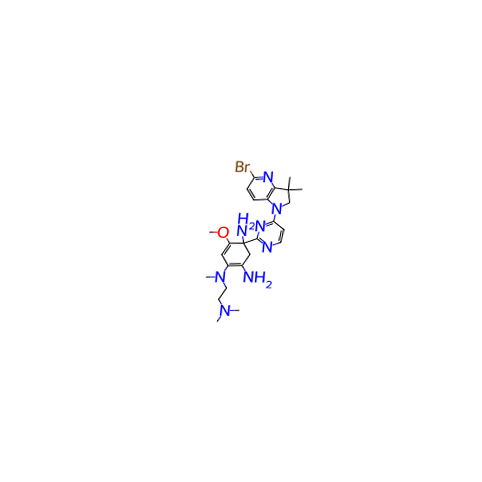 COC1=CC(N(C)CCN(C)C)=C(N)CC1(N)c1nccc(N2CC(C)(C)c3nc(Br)ccc32)n1